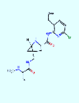 COCc1ccc(Br)nc1NC(=O)[C@@H]1C[C@@]2(CNC(=O)C(NC(=O)O)C(C)C)C[C@H]2N1